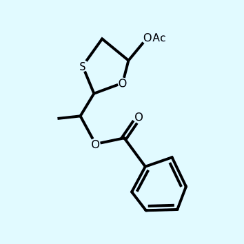 CC(=O)OC1CSC(C(C)OC(=O)c2ccccc2)O1